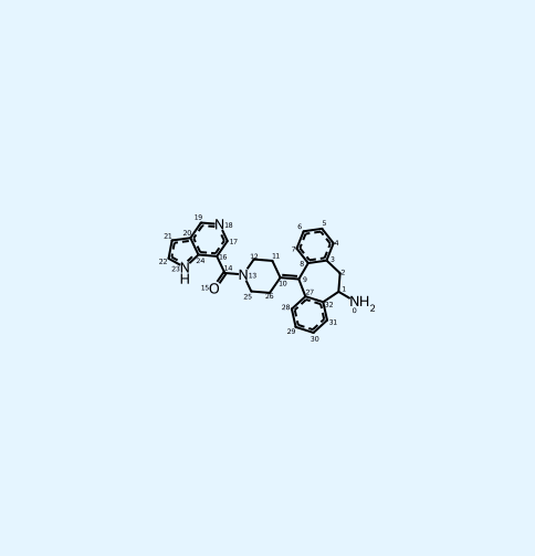 NC1Cc2ccccc2C(=C2CCN(C(=O)c3cncc4cc[nH]c34)CC2)c2ccccc21